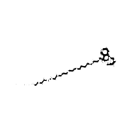 CCCCCCCCCCCCCCCCCCCCCCCCCCCCCCCCC1(C)c2ccccc2-c2ccccc21